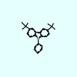 CC(C)(C)c1ccc2c(c1)c1cc(C(C)(C)C)ccc1n2-c1cc[c]cc1